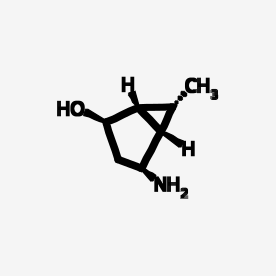 C[C@H]1[C@@H]2[C@H]1[C@@H](N)C[C@H]2O